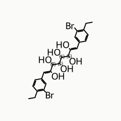 CCc1ccc(C=C(O)[C@@H](O)[C@@H](O)[C@H](O)[C@@H](O)C(O)=Cc2ccc(CC)c(Br)c2)cc1Br